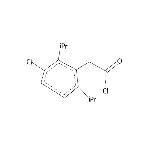 CC(C)c1ccc(Cl)c(C(C)C)c1CC(=O)Cl